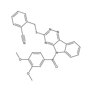 COc1ccc(C(=O)n2c3ccccc3c3nnc(SCc4ccccc4C#N)nc32)cc1OC